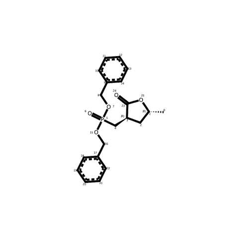 C[C@@H]1C[C@@H](CP(=O)(OCc2ccccc2)OCc2ccccc2)C(=O)O1